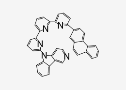 c1cc(-c2ccc3c(ccc4ccccc43)c2)nc(-c2cccc(-c3cccc(-n4c5ccccc5c5cnccc54)n3)n2)c1